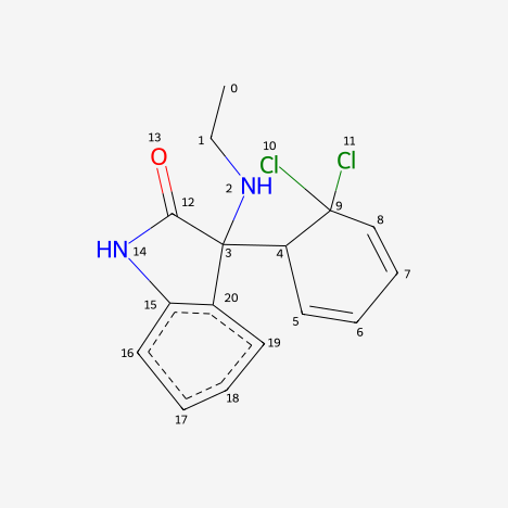 CCNC1(C2C=CC=CC2(Cl)Cl)C(=O)Nc2ccccc21